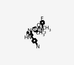 C[C@H](NC(=O)N1CCN(c2ncnc3[nH]c(-c4ccc(C#N)cc4)cc23)CC1(C)C)c1ccc(F)cc1